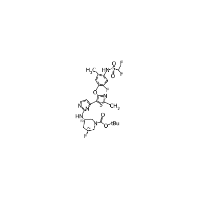 Cc1nc(Oc2cc(C)c(NS(=O)(=O)C(F)F)cc2F)c(-c2ccnc(N[C@H]3C[C@H](F)CN(C(=O)OC(C)(C)C)C3)n2)s1